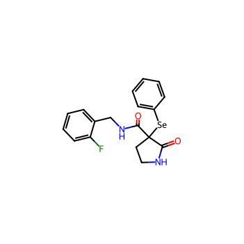 O=C1NCCC1([Se]c1ccccc1)C(=O)NCc1ccccc1F